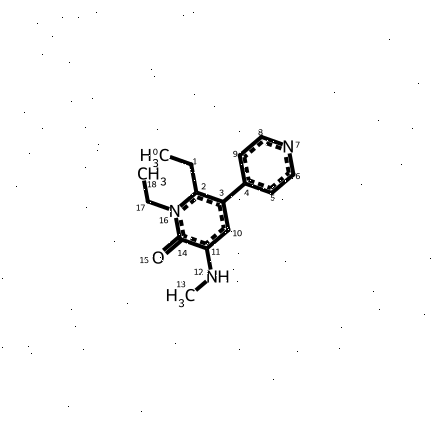 CCc1c(-c2ccncc2)cc(NC)c(=O)n1CC